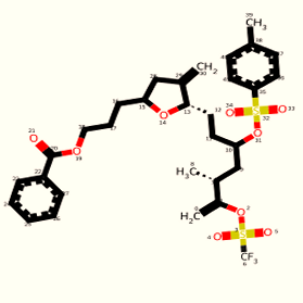 C=C(OS(=O)(=O)C(F)(F)F)[C@H](C)CC(CC[C@@H]1OC(CCCOC(=O)c2ccccc2)CC1=C)OS(=O)(=O)c1ccc(C)cc1